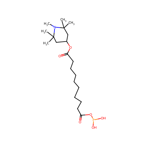 CN1C(C)(C)CC(OC(=O)CCCCCCCCC(=O)OP(O)O)CC1(C)C